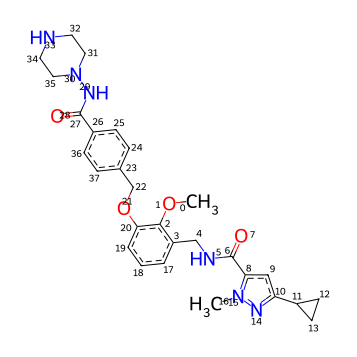 COc1c(CNC(=O)c2cc(C3CC3)nn2C)cccc1OCc1ccc(C(=O)NN2CCNCC2)cc1